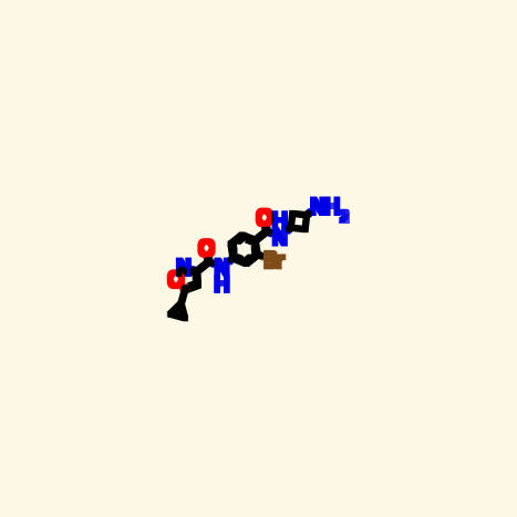 NC1CC(NC(=O)c2ccc(NC(=O)c3cc(C4CC4)on3)cc2Br)C1